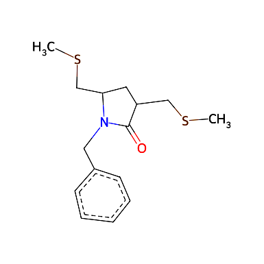 CSCC1CC(CSC)N(Cc2ccccc2)C1=O